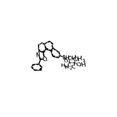 CC(C)(O)C(C)(C)OBc1ccc2c(ccc3ccc4nc(-c5ccccc5)oc4c32)c1